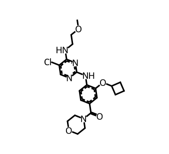 COCCNc1nc(Nc2ccc(C(=O)N3CCOCC3)cc2OC2CCC2)ncc1Cl